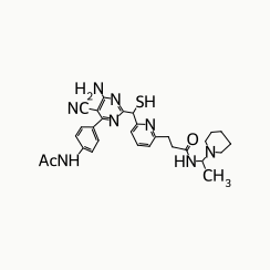 CC(=O)Nc1ccc(-c2nc(C(S)c3cccc(CCC(=O)NC(C)N4CCCCC4)n3)nc(N)c2C#N)cc1